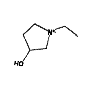 CC[N+]1CCC(O)C1